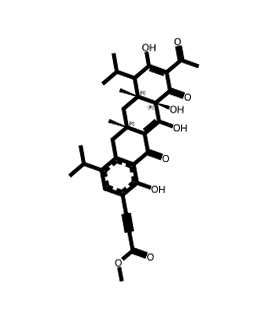 COC(=O)C#Cc1cc(C(C)C)c2c(c1O)C(=O)C1=C(O)[C@@]3(O)C(=O)C(C(C)=O)=C(O)C(C(C)C)[C@@]3(C)C[C@@]1(C)C2